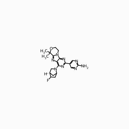 CC1(C)OCCn2c1nc1c(N3C[C@H]4CC3CC4F)nc(-c3cnc(N)nc3)nc12